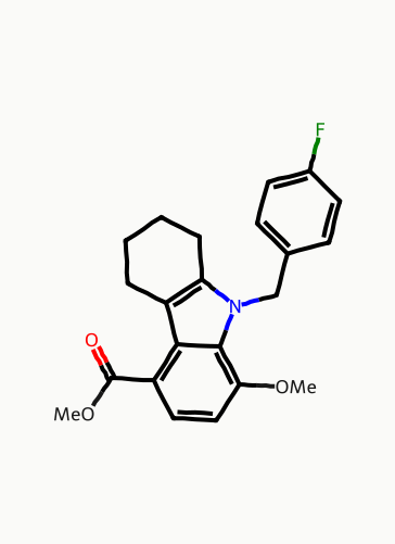 COC(=O)c1ccc(OC)c2c1c1c(n2Cc2ccc(F)cc2)CCCC1